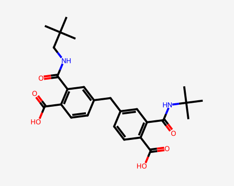 CC(C)(C)CNC(=O)c1cc(Cc2ccc(C(=O)O)c(C(=O)NC(C)(C)C)c2)ccc1C(=O)O